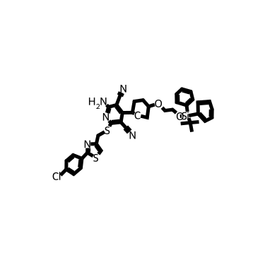 CC(C)(C)[Si](OCCOC1CCC(c2c(C#N)c(N)nc(SCc3csc(-c4ccc(Cl)cc4)n3)c2C#N)CC1)(c1ccccc1)c1ccccc1